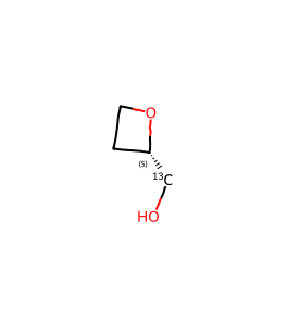 O[13CH2][C@@H]1CCO1